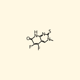 Cn1cc2c(F)c(F)c(=O)[nH]c2nc1=S